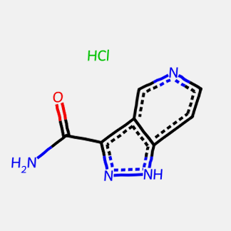 Cl.NC(=O)c1n[nH]c2ccncc12